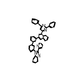 c1ccc(-c2cc(-c3cc(-c4cccc(-c5cccc(-n6c(-c7ccccn7)nc7ccccc76)c5)c4)cc4ccccc34)nc(-c3ccccc3)n2)cc1